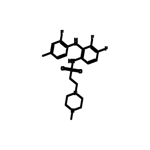 Cc1ccc(Nc2c(NS(=O)(=O)CCN3CCN(C)CC3)ccc(F)c2F)c(F)c1